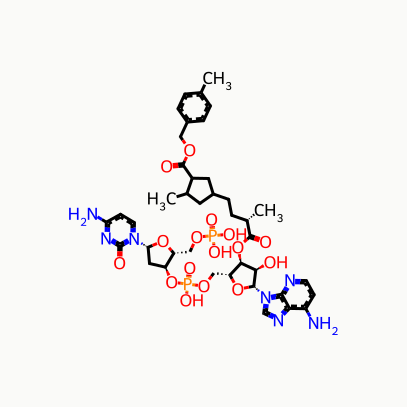 Cc1ccc(COC(=O)C2CC(CC[C@H](C)C(=O)O[C@H]3[C@@H](O)[C@H](n4cnc5c(N)ccnc54)O[C@@H]3COP(=O)(O)O[C@H]3C[C@H](n4ccc(N)nc4=O)O[C@@H]3COP(=O)(O)O)CC2C)cc1